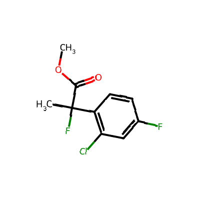 COC(=O)C(C)(F)c1ccc(F)cc1Cl